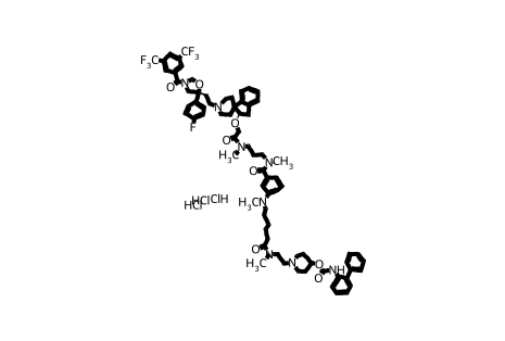 CN(CCN1CCC(OC(=O)Nc2ccccc2-c2ccccc2)CC1)C(=O)CCCCCN(C)c1cccc(C(=O)N(C)CCCN(C)C(=O)CO[C@H]2Cc3ccccc3C23CCN(CC[C@@]2(c4ccc(F)cc4)CN(C(=O)c4cc(C(F)(F)F)cc(C(F)(F)F)c4)CO2)CC3)c1.Cl.Cl.Cl